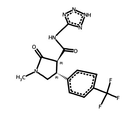 CN1C[C@@H](c2ccc(C(F)(F)F)cc2)[C@H](C(=O)Nc2nn[nH]n2)C1=O